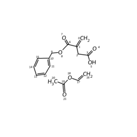 C=C(CC(=O)O)C(=O)OCc1ccccc1.C=COC(C)=O